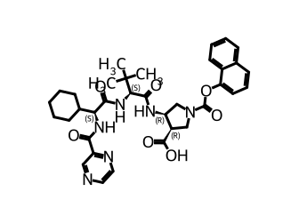 CC(C)(C)[C@H](NC(=O)[C@@H](NC(=O)c1cnccn1)C1CCCCC1)C(=O)N[C@H]1CN(C(=O)Oc2cccc3ccccc23)C[C@H]1C(=O)O